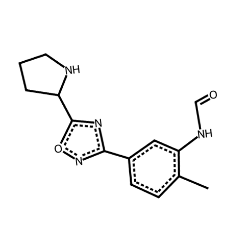 Cc1ccc(-c2noc(C3CCCN3)n2)cc1NC=O